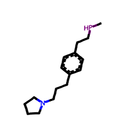 CPCCc1ccc(CCCN2CCCC2)cc1